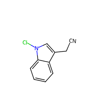 N#CCc1cn(Cl)c2ccccc12